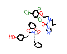 CCCN(CCOc1c(Cl)cc(Cl)cc1Cl)C(=O)n1ccnc1.O=C1OC[C@H](Cc2ccccc2)N1[C@H](Cc1ccc(O)cc1)Oc1ccccc1